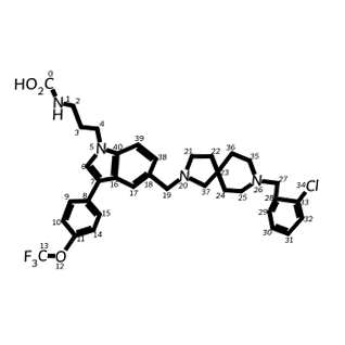 O=C(O)NCCCn1cc(-c2ccc(OC(F)(F)F)cc2)c2cc(CN3CCC4(CCN(Cc5ccccc5Cl)CC4)C3)ccc21